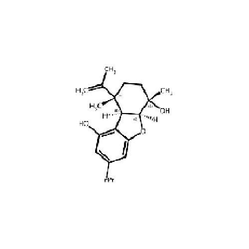 C=C(C)[C@]1(C)CC[C@](C)(O)[C@H]2Oc3cc(CCC)cc(O)c3[C@H]21